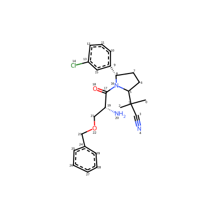 CC(C)(C#N)C1CC[C@@H](c2cccc(Cl)c2)N1C(=O)[C@H](N)COCc1ccccc1